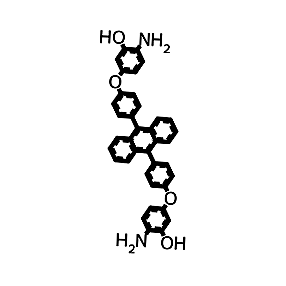 Nc1ccc(Oc2ccc(-c3c4ccccc4c(-c4ccc(Oc5ccc(N)c(O)c5)cc4)c4ccccc34)cc2)cc1O